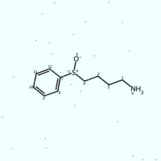 NCCCC[S+]([O-])c1ccccc1